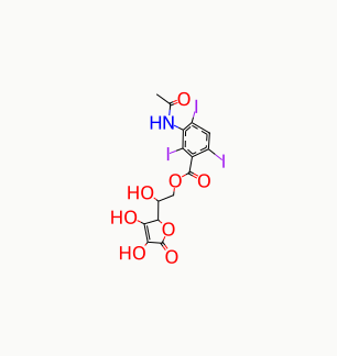 CC(=O)Nc1c(I)cc(I)c(C(=O)OCC(O)C2OC(=O)C(O)=C2O)c1I